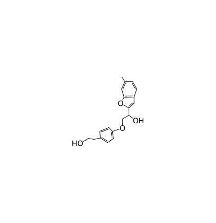 Cc1ccc2cc(C(O)COc3ccc(CCO)cc3)oc2c1